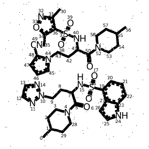 CC1CCN(C(=O)C(CCn2nccn2)NS(=O)(=O)c2cccc3[nH]ccc23)CC1.Cc1noc(C)c1S(=O)(=O)NC(CCn1cccc1C#N)C(=O)N1CCC(C)CC1